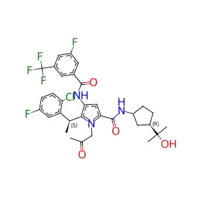 CC(=O)Cn1c(C(=O)NC2CC[C@@H](C(C)(C)O)C2)cc(NC(=O)c2cc(F)cc(C(F)(F)F)c2)c1[C@@H](C)c1cc(F)ccc1Cl